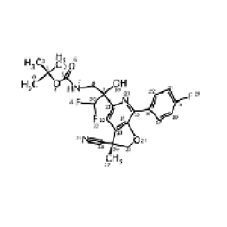 CC(C)(C)OC(=O)NCC(O)(c1cc2c(c(-c3ccc(F)cc3)n1)OC[C@]2(C)C#N)C(F)F